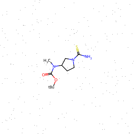 CN(C(=O)OC(C)(C)C)C1CCN(C(N)=S)C1